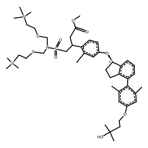 COC(=O)CC(CS(=O)(=O)N(COCC[Si](C)(C)C)COCC[Si](C)(C)C)c1ccc(O[C@@H]2CCc3c(-c4c(C)cc(OCCC(C)(C)O)cc4C)cccc32)cc1C